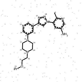 Cc1ncc(N)cc1-n1cc(-c2cncc(N3CCN(CCOC(C)C)CC3)c2)nn1